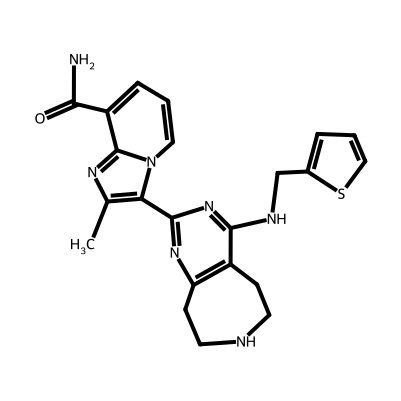 Cc1nc2c(C(N)=O)cccn2c1-c1nc2c(c(NCc3cccs3)n1)CCNCC2